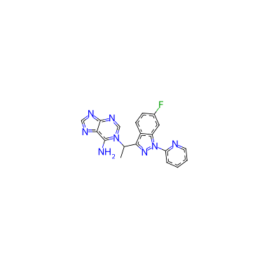 CC(c1nn(-c2ccccn2)c2cc(F)ccc12)n1cnc2ncnc-2c1N